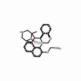 COCOc1ccc2ccccc2c1N1CN=c2ccccc2=C1C1CC2CNCC1(C)N2C(=O)O